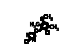 COc1cc(C)c(Cl)c(COc2cnc(Cl)nc2)c1C